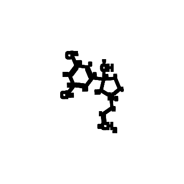 C=CCN1CCC(O)(c2cc(Cl)cc(Cl)c2)C1